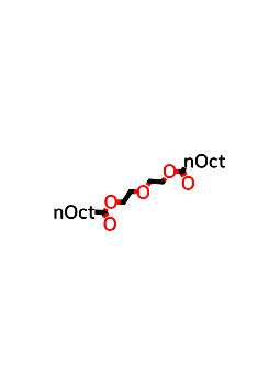 CCCCCCCCC(=O)OCCOCCOC(=O)CCCCCCCC